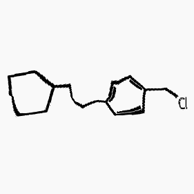 ClCc1ccc(CCC2CCCCC2)cc1